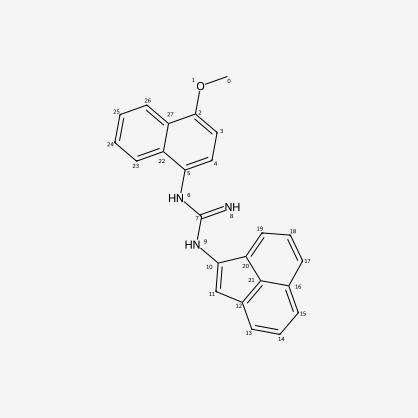 COc1ccc(NC(=N)NC2=Cc3cccc4cccc2c34)c2ccccc12